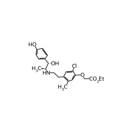 CCOC(=O)COc1cc(C)c(CCN[C@@H](C)[C@@H](O)c2ccc(O)cc2)cc1Cl